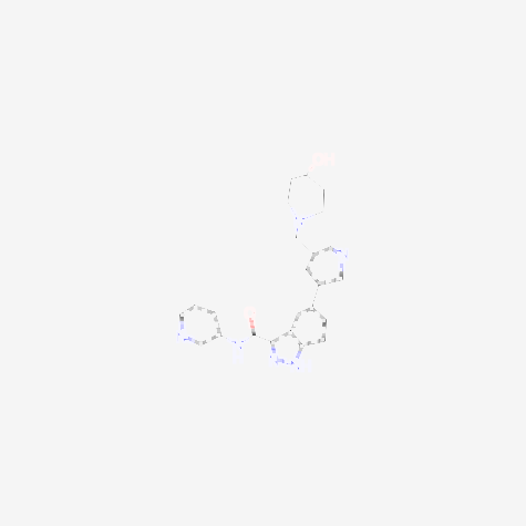 O=C(Nc1cccnc1)c1n[nH]c2ccc(-c3cncc(CN4CCC(O)CC4)c3)cc12